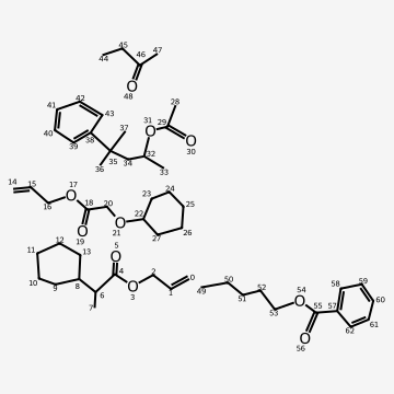 C=CCOC(=O)C(C)C1CCCCC1.C=CCOC(=O)COC1CCCCC1.CC(=O)OC(C)CC(C)(C)c1ccccc1.CCC(C)=O.CCCCCOC(=O)c1ccccc1